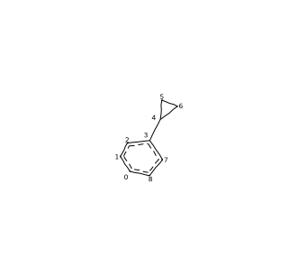 c1ccc(C2CC2)cc1